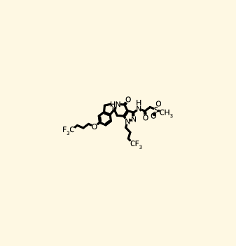 CS(=O)(=O)CC(=O)Nc1nn(CCCC(F)(F)F)c2c1C(=O)N[C@@]1(CCc3cc(OCCCC(F)(F)F)ccc31)C2